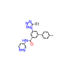 CCc1nnnn1-c1cc(C(=O)Nc2ccnnc2)cc(-c2ccc(C)cc2)c1